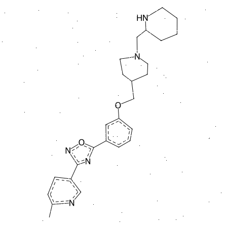 Cc1ccc(-c2noc(-c3cccc(OCC4CCN(CC5CCCCN5)CC4)c3)n2)cn1